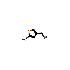 CC(=O)c1cc(CC(C)C)cs1